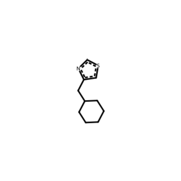 [c]1nc(CC2CCCCC2)cs1